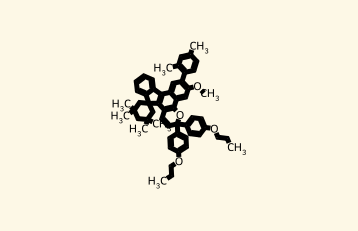 CCCOc1ccc(C2(c3ccc(OCCC)cc3)C=Cc3c4c(c5cc(-c6ccc(C)cc6C)c(OC)cc5c3O2)-c2ccccc2C42CC(C)(C)CC(C)(C)C2)cc1